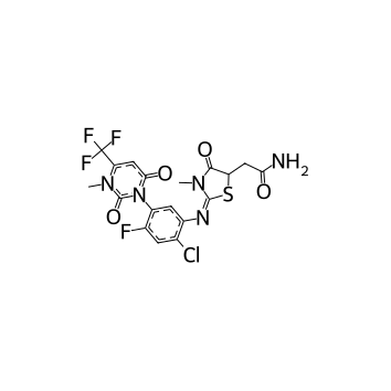 CN1C(=O)C(CC(N)=O)SC1=Nc1cc(-n2c(=O)cc(C(F)(F)F)n(C)c2=O)c(F)cc1Cl